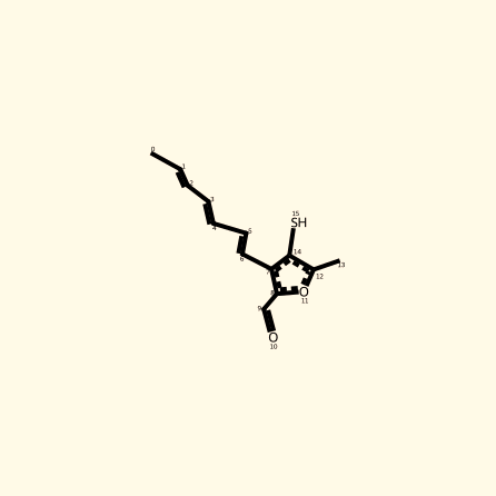 C/C=C/C=C/C=C/c1c(C=O)oc(C)c1S